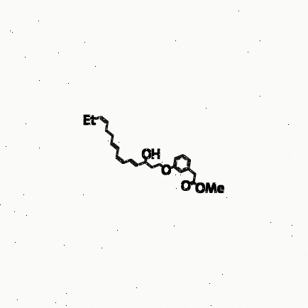 CC/C=C\CC/C=C/C=C\C=C\[C@@H](O)CCOc1cccc(CC(=O)OC)c1